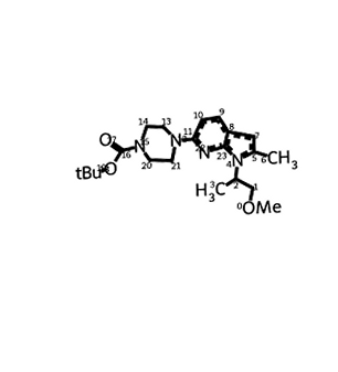 COCC(C)n1c(C)cc2ccc(N3CCN(C(=O)OC(C)(C)C)CC3)nc21